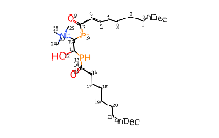 CCCCCCCCCCCCCCCCC(=O)[P-]C(C(O)PC(=O)CCCCCCCCCCCCCCCC)[N+](C)(C)C